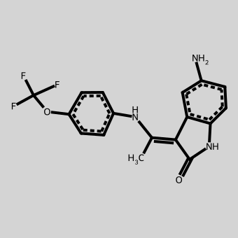 CC(Nc1ccc(OC(F)(F)F)cc1)=C1C(=O)Nc2ccc(N)cc21